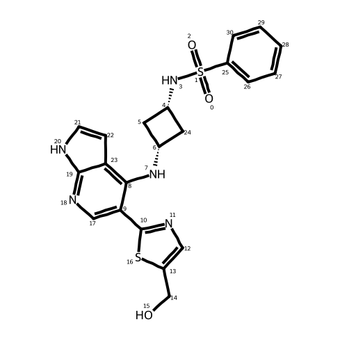 O=S(=O)(N[C@H]1C[C@@H](Nc2c(-c3ncc(CO)s3)cnc3[nH]ccc23)C1)c1ccccc1